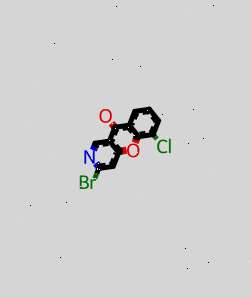 O=c1c2cnc(Br)cc2oc2c(Cl)cccc12